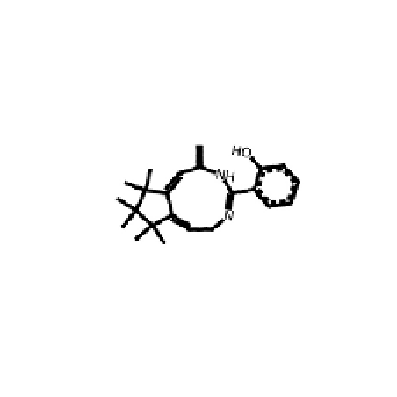 C=C1/C=C2\C(=C/C/N=C(/c3ccccc3O)N1)C(C)(C)C(C)(C)C2(C)C